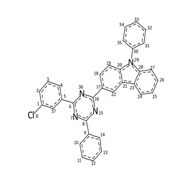 Clc1cccc(-c2nc(-c3ccccc3)nc(-c3ccc4c(c3)c3ccccc3n4-c3ccccc3)n2)c1